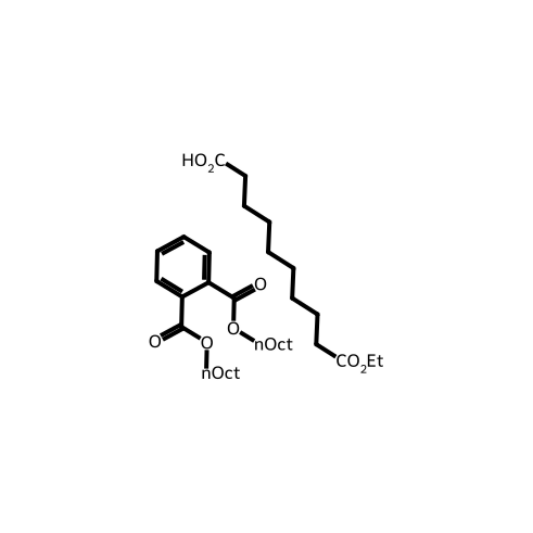 CCCCCCCCOC(=O)c1ccccc1C(=O)OCCCCCCCC.CCOC(=O)CCCCCCCCC(=O)O